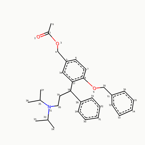 CC(=O)OCc1ccc(OCc2ccccc2)c(C(CCN(C(C)C)C(C)C)c2ccccc2)c1